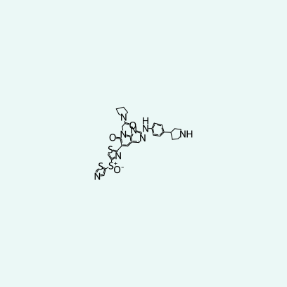 O=C(Cn1c(=O)c(-c2nc([S+]([O-])c3cncs3)cs2)cc2cnc(Nc3ccc(C4CCNCC4)cc3)nc21)N1CCCC1